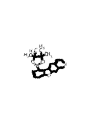 CC1(C)OB(c2cccc3oc4cc5cnccc5cc4c23)OC1(C)C